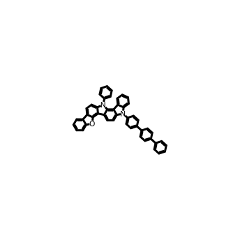 c1ccc(-c2ccc(-c3ccc(-n4c5ccccc5c5c4ccc4c6c7oc8ccccc8c7ccc6n(-c6ccccc6)c45)cc3)cc2)cc1